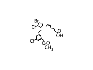 CC(=O)OCc1cc(Cl)cc(CC[C@H]2C(Cl)C(Br)C[C@@H]2C/C=C\CCCC(=O)O)c1